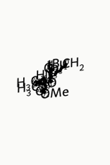 C=CCCCC[C@H](NC(=O)OC(C)(C)C)C(=O)N1CC2C(C1CC(=O)OC)C2(C)C